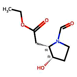 CCOC(=O)C[C@H]1[C@@H](O)CCN1C=O